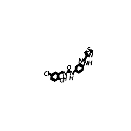 O=C(NCc1cc(Cl)ccc1Cl)Nc1ccc2[nH]c(-c3cscn3)nc2c1